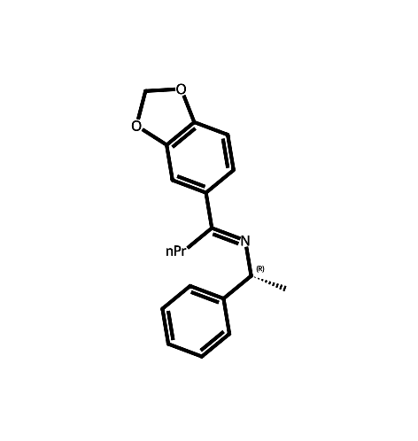 CCCC(=N[C@H](C)c1ccccc1)c1ccc2c(c1)OCO2